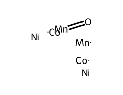 [Co].[Co].[Mn].[Ni].[Ni].[O]=[Mn]